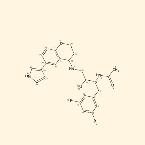 CC(=O)NC(Cc1cc(F)cc(F)c1)C(O)CNC1CCOc2ccc(-c3cc[nH]c3)cc21